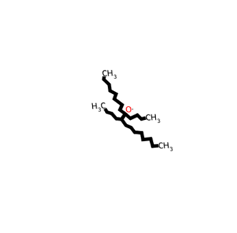 CCCCCCCCC(CCCC)C([O])(CCCC)CCCCCCCC